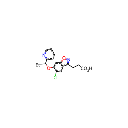 CC[C@@H](Oc1cc2onc(CCC(=O)O)c2cc1Cl)c1ccccn1